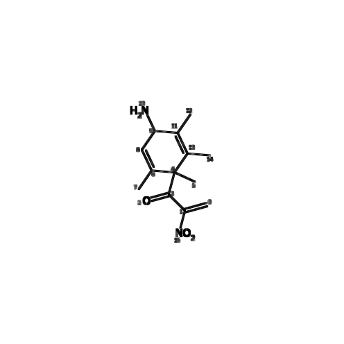 C=C(C(=O)C1(C)C(C)=CC(N)C(C)=C1C)[N+](=O)[O-]